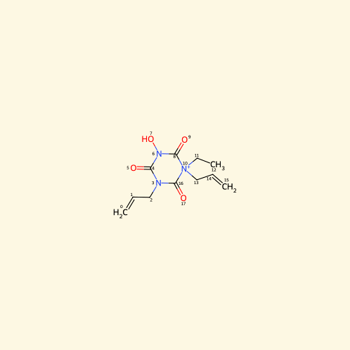 C=CCN1C(=O)N(O)C(=O)[N+](CC)(CC=C)C1=O